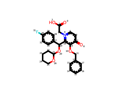 O=C(O)Cn1ccc(=O)c(OCc2ccccc2)c1C(OC1CCCCO1)c1ccc(F)cc1